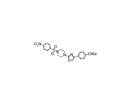 COc1ccc(-c2csc(N3CCN(S(=O)(=O)c4ccc([N+](=O)[O-])cc4)CC3)n2)cc1